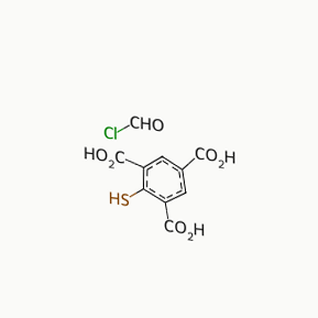 O=C(O)c1cc(C(=O)O)c(S)c(C(=O)O)c1.O=CCl